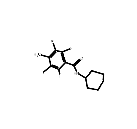 Cc1c(F)c(F)c(C(=O)NC2CCCCC2)c(I)c1I